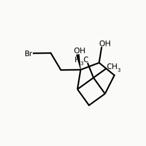 CC1(C)C2CC(O)[C@@](O)(CCBr)C1C2